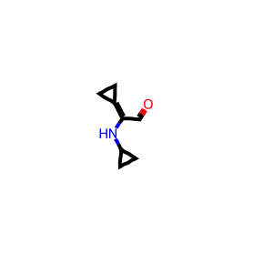 O=CC(NC1CC1)=C1CC1